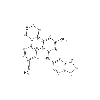 Cl.NC1=NC(Nc2ccc3c(c2)OCO3)N(c2cccc(F)c2)C(N2CCOCC2)=N1